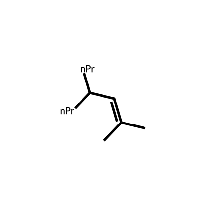 CCCC(C=C(C)C)CCC